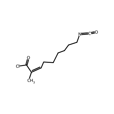 CC(=CCCCCCCN=C=O)C(=O)Cl